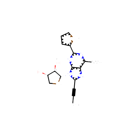 CCCCC#Cc1nc2c(NC)nc(-c3cccs3)nc2n1[C@@H]1SC[C@@H](O)[C@H]1O